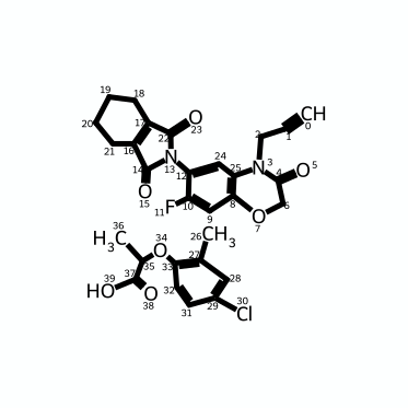 C#CCN1C(=O)COc2cc(F)c(N3C(=O)C4=C(CCCC4)C3=O)cc21.Cc1cc(Cl)ccc1OC(C)C(=O)O